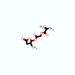 C=C(C)C(=O)OCC(=O)OC1OC(=O)CC1C